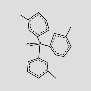 Cc1cccc(P(=O)(c2cccc(C)c2)c2cccc(C)c2)c1